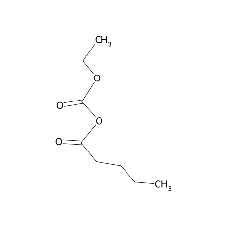 CCCCC(=O)OC(=O)OCC